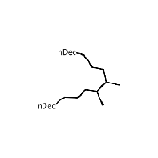 CCCCCCCCCCCCCC(C)C(C)CCCCCCCCCCCCC